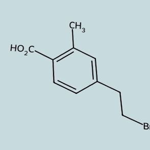 Cc1cc(CCBr)ccc1C(=O)O